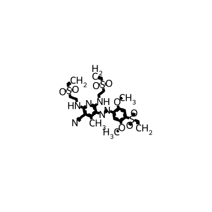 C=CS(=O)(=O)CCNc1nc(NCCS(=O)(=O)C=C)c(/N=N/c2cc(OC)c(S(=O)(=O)C=C)cc2OC)c(C)c1C#N